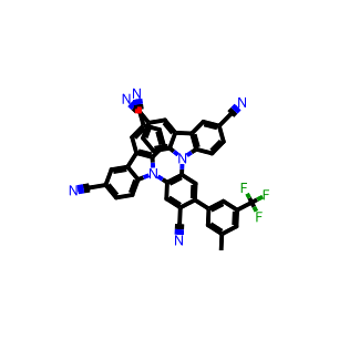 Cc1cc(-c2cc(-n3c4ccc(C#N)cc4c4cc(C#N)ccc43)c(-n3c4ccc(C#N)cc4c4cc(C#N)ccc43)cc2C#N)cc(C(F)(F)F)c1